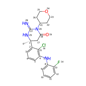 C[C@@]1(c2cccc(Nc3ccccc3F)c2Cl)CC(=O)N(C2CCOCC2)C(=N)N1